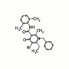 CCc1c(Br)c(=O)c(C(=O)Nc2c(C)cccc2C)c(C)n1Cc1ccccc1